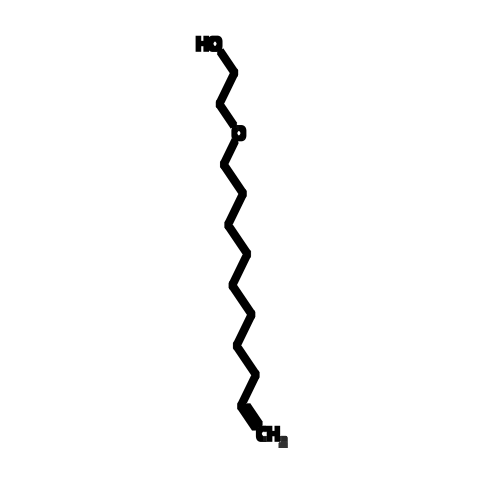 C=CCCCCCCCCOCCO